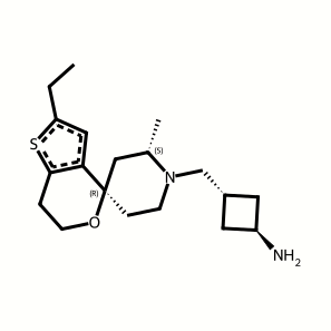 CCc1cc2c(s1)CCO[C@@]21CCN(C[C@H]2C[C@H](N)C2)[C@@H](C)C1